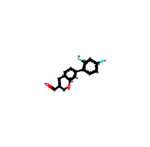 O=CC1=Cc2ccc(-c3ccc(F)cc3F)cc2OC1